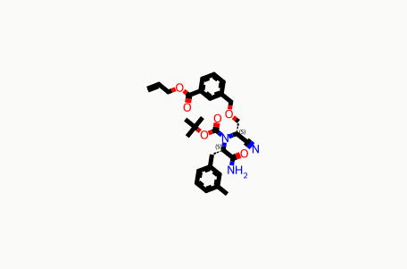 C=CCOC(=O)c1cccc(COC[C@H](C#N)N(C(=O)OC(C)(C)C)[C@@H](Cc2cccc(C)c2)C(N)=O)c1